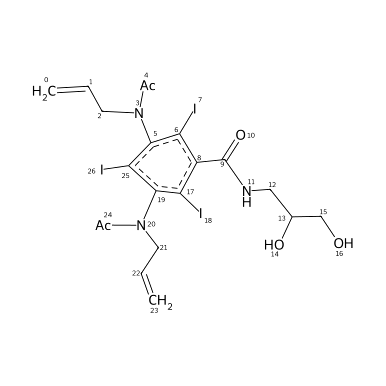 C=CCN(C(C)=O)c1c(I)c(C(=O)NCC(O)CO)c(I)c(N(CC=C)C(C)=O)c1I